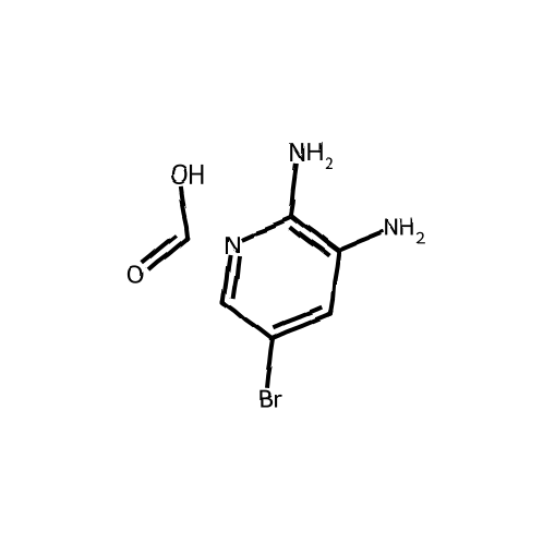 Nc1cc(Br)cnc1N.O=CO